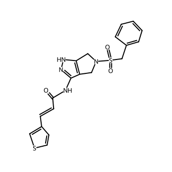 O=C(C=Cc1ccsc1)Nc1n[nH]c2c1CN(S(=O)(=O)Cc1ccccc1)C2